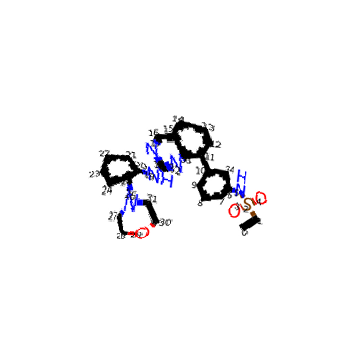 C=CS(=O)(=O)Nc1cccc(-c2cccc3cnc(Nc4ccccc4N4CCOCC4)nc23)c1